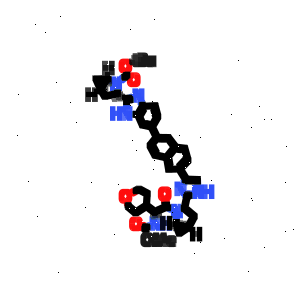 COC(=O)N[C@H](C(=O)N1C(c2nc(-c3ccc4cc(-c5ccc6nc([C@@H]7C[C@H]8C[C@H]8N7C(=O)OC(C)(C)C)[nH]c6c5)ccc4c3)c[nH]2)C[C@H]2C[C@H]21)C1CCOCC1